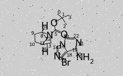 CC(C)(C)OC(=O)N1[C@H]2CC[C@@H](C2)[C@H]1c1nc(Br)c2c(N)nccn12